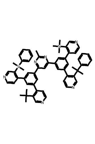 Cc1nc(-c2cc(-c3ccncc3C(C)(C)c3ccccc3)cc(-c3ccncc3[Si](C)(C)C)c2)cc(-c2cc(-c3ccncc3C(C)(C)C)cc(-c3ccncc3[Si](C)(C)c3ccccc3)c2)n1